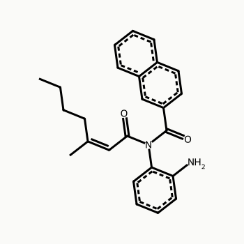 CCCCC(C)=CC(=O)N(C(=O)c1ccc2ccccc2c1)c1ccccc1N